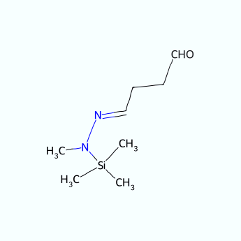 CN(N=CCCC=O)[Si](C)(C)C